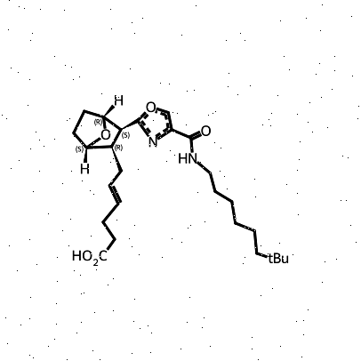 CC(C)(C)CCCCCCNC(=O)c1coc([C@H]2[C@@H](CC=CCCC(=O)O)[C@@H]3CC[C@H]2O3)n1